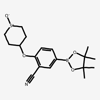 CC1(C)OB(c2ccc(OC3CC[S+]([O-])CC3)c(C#N)c2)OC1(C)C